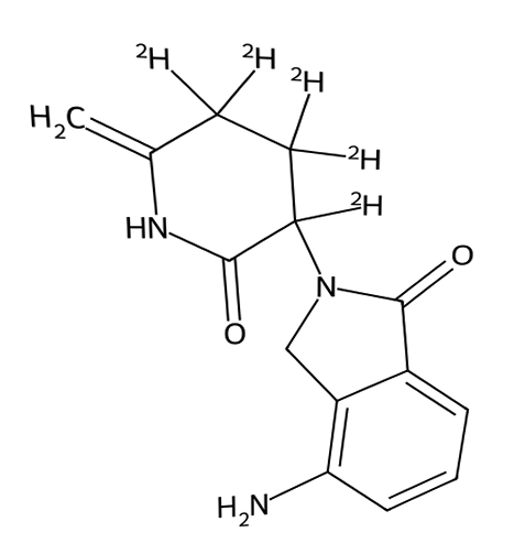 [2H]C1([2H])C(=C)NC(=O)C([2H])(N2Cc3c(N)cccc3C2=O)C1([2H])[2H]